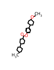 CCOC1CCC(c2ccc(OC(=O)C3CCC(C4CCC(C)CC4)CC3)cc2)CC1